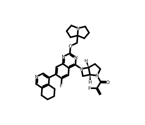 C=C(F)C(=O)N1CC[C@@H]2[C@H]1CN2c1nc(OCC23CCCN2CCC3)nc2cc(-c3cncc4c3CCCC4)c(F)cc12